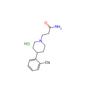 Cl.N#Cc1ccccc1C1CCN(CCC(N)=O)CC1